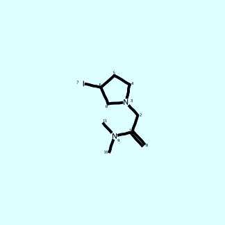 C=C(CN1CCC(I)C1)N(C)C